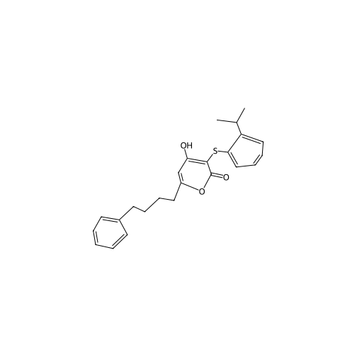 CC(C)c1ccccc1Sc1c(O)cc(CCCCc2ccccc2)oc1=O